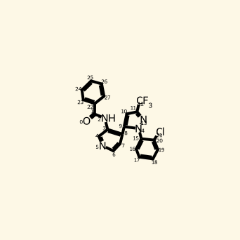 O=C(Nc1cnccc1-c1cc(C(F)(F)F)nn1-c1ccccc1Cl)c1ccccc1